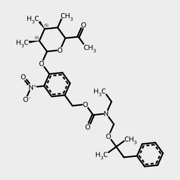 CCN(COC(C)(C)Cc1ccccc1)C(=O)OCc1ccc(OC2OC(C(C)=O)C(C)[C@H](C)[C@@H]2C)c([N+](=O)[O-])c1